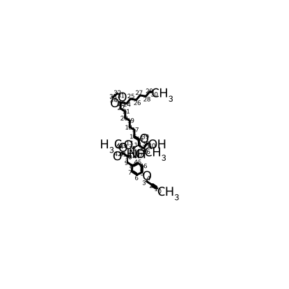 CC#CCOc1ccc(C[C@H](NC(=O)[C@@H](/C=C/CCCCCCC2(CCCCCCC)OCCO2)[C@](C)(O)C(=O)O)C(=O)OC)cc1